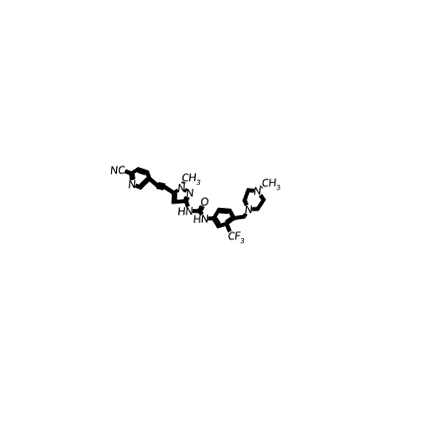 CN1CCN(Cc2ccc(NC(=O)Nc3cc(C#Cc4ccc(C#N)nc4)n(C)n3)cc2C(F)(F)F)CC1